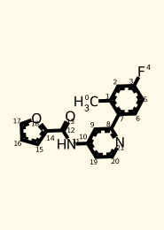 Cc1cc(F)ccc1-c1cc(NC(=O)c2ccco2)ccn1